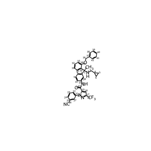 CC(NCC1CC1)(c1cccc(NC(=O)c2cc(C(F)(F)F)nn2-c2cccc(C#N)c2)c1)c1ccccc1OCc1ccccc1